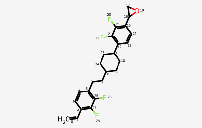 C=Cc1ccc(CCC2CCC(c3ccc(C4CO4)c(F)c3F)CC2)c(F)c1F